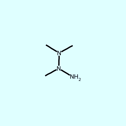 CN(C)N(C)N